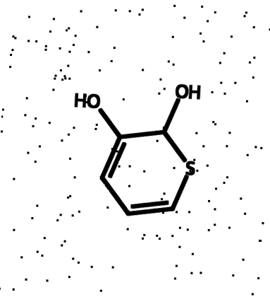 O[C]1SC=CC=C1O